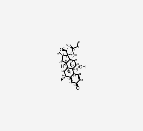 CCC(=O)O[C@]1(C=O)[C@H](C)C[C@H]2[C@@H]3C[C@H](F)C4=CC(=O)C=C[C@]4(C)[C@@]3(F)[C@@H](O)C[C@@]21C